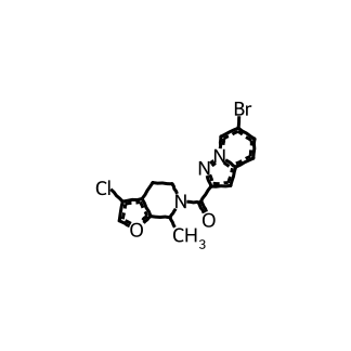 CC1c2occ(Cl)c2CCN1C(=O)c1cc2ccc(Br)cn2n1